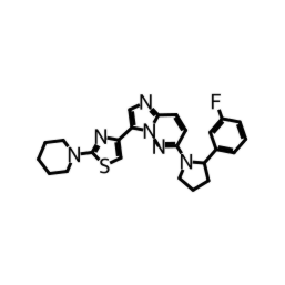 Fc1cccc(C2CCCN2c2ccc3ncc(-c4csc(N5CCCCC5)n4)n3n2)c1